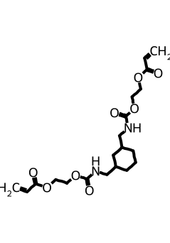 C=CC(=O)OCCOC(=O)NCC1CCCC(CNC(=O)OCCOC(=O)C=C)C1